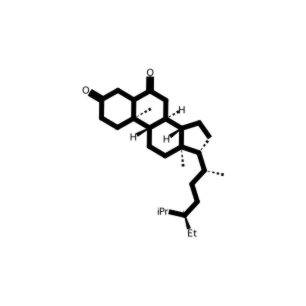 CC[C@H](CC[C@@H](C)[C@H]1CC[C@H]2[C@@H]3CC(=O)C4CC(=O)CC[C@]4(C)[C@H]3CC[C@]12C)C(C)C